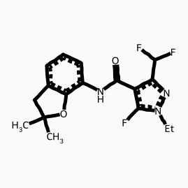 CCn1nc(C(F)F)c(C(=O)Nc2cccc3c2OC(C)(C)C3)c1F